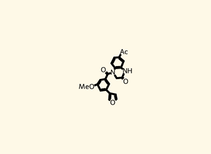 COc1cc(C(=O)N2CC(=O)Nc3cc(C(C)=O)ccc32)cc(-c2ccoc2)c1